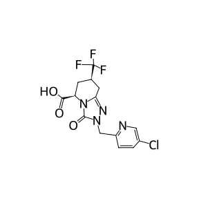 O=C(O)[C@H]1C[C@@H](C(F)(F)F)Cc2nn(Cc3ccc(Cl)cn3)c(=O)n21